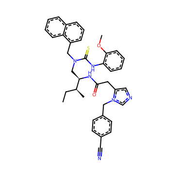 CC[C@H](C)[C@@H](CN(Cc1cccc2ccccc12)C(=S)Nc1ccccc1OC)NC(=O)Cc1cncn1Cc1ccc(C#N)cc1